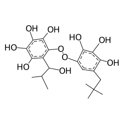 CC(C)C(O)c1c(O)c(O)c(O)c(O)c1OOc1cc(CC(C)(C)C)c(O)c(O)c1O